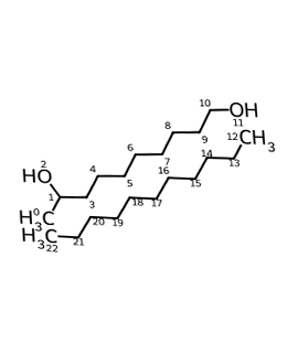 CC(O)CCCCCCCCO.CCCCCCCCCCC